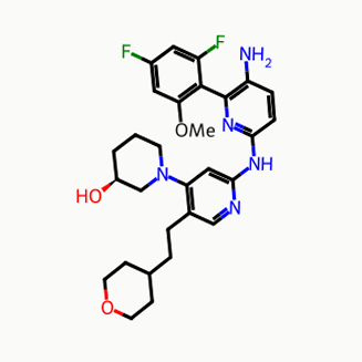 COc1cc(F)cc(F)c1-c1nc(Nc2cc(N3CCC[C@H](O)C3)c(CCC3CCOCC3)cn2)ccc1N